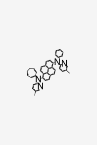 Cc1ccc(N(C2=CC=CCC=C2)c2ccc3ccc4c(N(c5ccccc5)c5ccc(C)cn5)ccc5ccc2c3c54)nc1